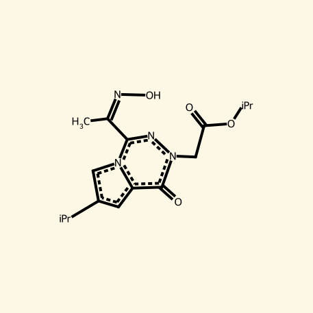 C/C(=N/O)c1nn(CC(=O)OC(C)C)c(=O)c2cc(C(C)C)cn12